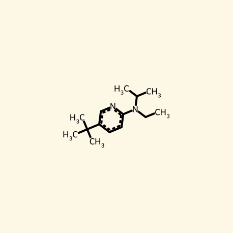 CCN(c1ccc(C(C)(C)C)cn1)C(C)C